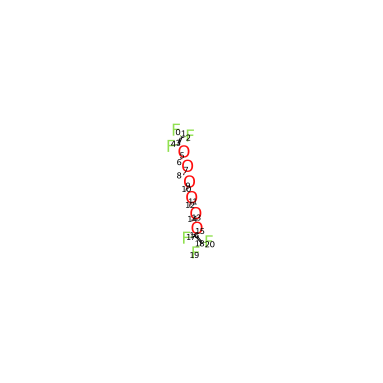 FC(F)=C(F)OCOCOCOCOCOC(F)=C(F)F